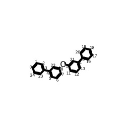 c1ccc(-c2cccc(Oc3cccc(-c4ccccc4)c3)c2)cc1